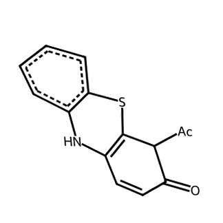 CC(=O)C1C(=O)C=CC2=C1Sc1ccccc1N2